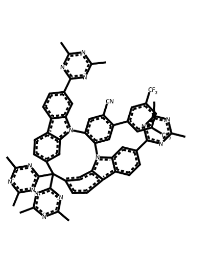 Cc1nc(C)nc(-c2ccc3c4ccc5cc4n(c3c2)-c2cc(C#N)c(-c3cc(C(F)(F)F)cc(C(F)(F)F)c3)cc2-n2c3cc(-c4nc(C)nc(C)n4)ccc3c3ccc(cc32)C5(c2nc(C)nc(C)n2)c2nc(C)nc(C)n2)n1